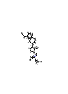 C=N/C(=N\n1ccc(-c2cnc3ncc(CC)n3c2)c1C)N1CC1